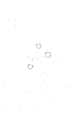 CC(=O)N[C@@H](C=O)[C@@H](OCc1ccccc1)[C@@H](OCc1ccccc1)[C@@H](CO)OCc1ccccc1